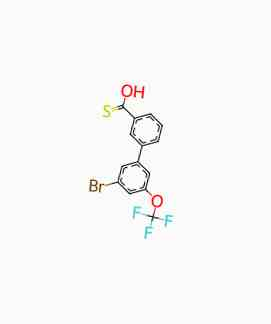 OC(=S)c1cccc(-c2cc(Br)cc(OC(F)(F)F)c2)c1